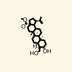 C=C(C)[C@@H]1CC[C@]2(C(=O)OC)CC[C@]3(C)C(CCC4[C@@]5(C)CC[C@H](O)[C@@](C)(CO)[C@@H]5CC[C@]43C)C12